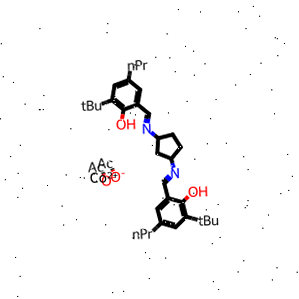 CC(=O)[O-].CC(=O)[O-].CCCc1cc(C=NC2CCC(N=Cc3cc(CCC)cc(C(C)(C)C)c3O)C2)c(O)c(C(C)(C)C)c1.[Co+2]